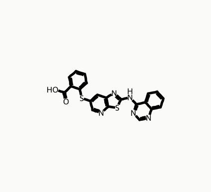 O=C(O)c1ccccc1Sc1cnc2sc(Nc3ncnc4ccccc34)nc2c1